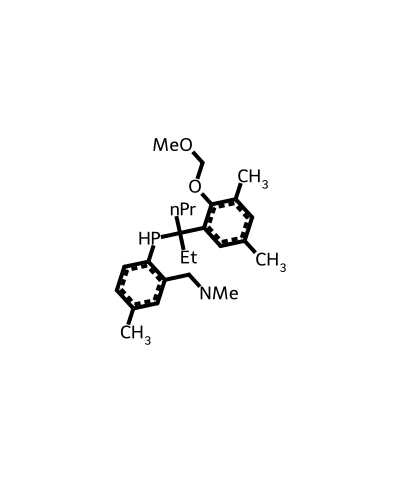 CCCC(CC)(Pc1ccc(C)cc1CNC)c1cc(C)cc(C)c1OCOC